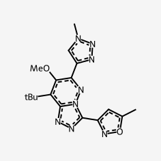 COc1c(-c2cn(C)nn2)nn2c(-c3cc(C)on3)nnc2c1C(C)(C)C